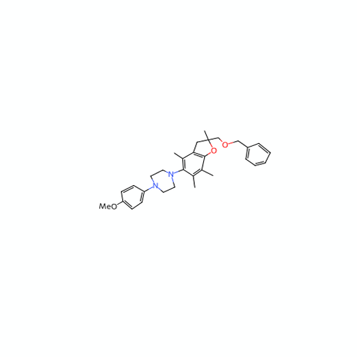 COc1ccc(N2CCN(c3c(C)c(C)c4c(c3C)CC(C)(COCc3ccccc3)O4)CC2)cc1